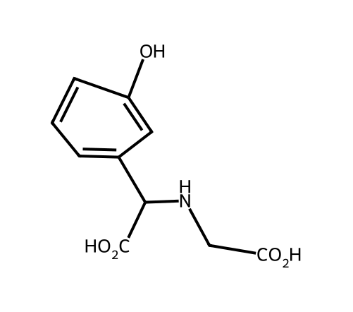 O=C(O)CNC(C(=O)O)c1cccc(O)c1